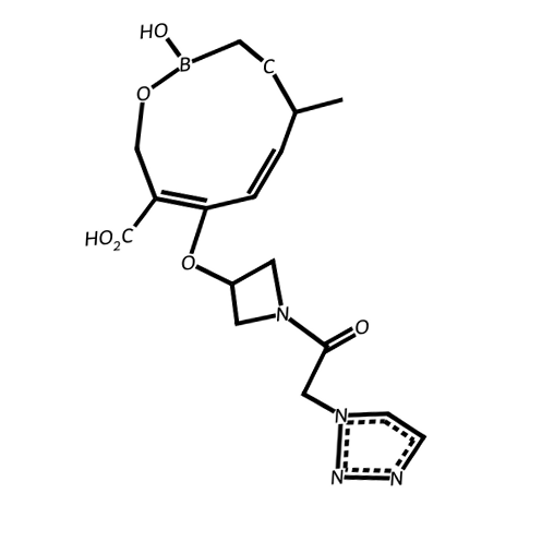 CC1/C=C\C(OC2CN(C(=O)Cn3ccnn3)C2)=C(\C(=O)O)COB(O)CC1